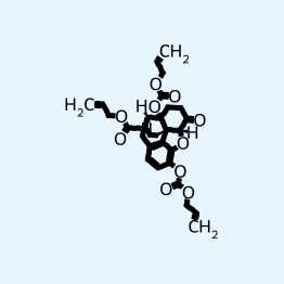 C=CCOC(=O)Oc1ccc2c3c1O[C@H]1C(=O)CCC4(OC(=O)OCC=C)[C@@H](C2)N(C(=O)OCC=C)CC[C@]314